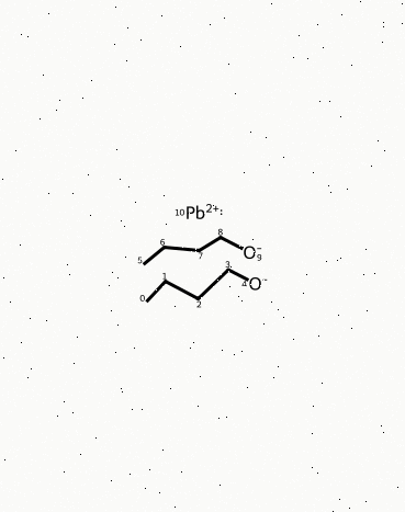 CCCC[O-].CCCC[O-].[Pb+2]